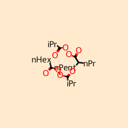 CCCCCC(CCC)C(=O)OOC(=O)C(C)C.CCCCCCC(=O)OOC(=O)C(C)C